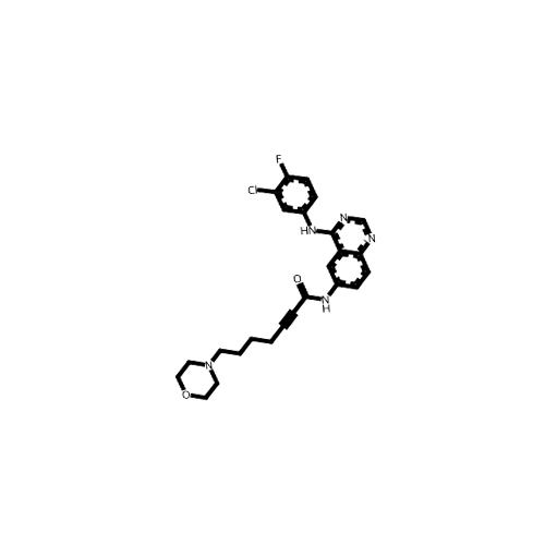 O=C(C#CCCCCN1CCOCC1)Nc1ccc2ncnc(Nc3ccc(F)c(Cl)c3)c2c1